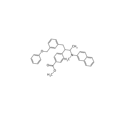 COC(=O)c1ccc(C(Cc2cccc(COc3ccccc3)c2)C(C)N(C)c2ccc3ccccc3c2)cc1